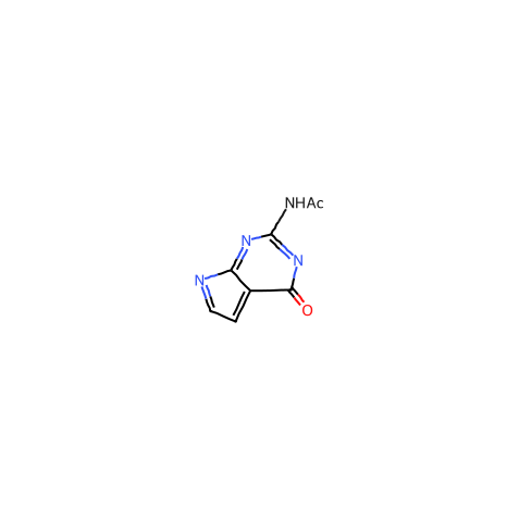 CC(=O)NC1=NC(=O)C2=CC=NC2=N1